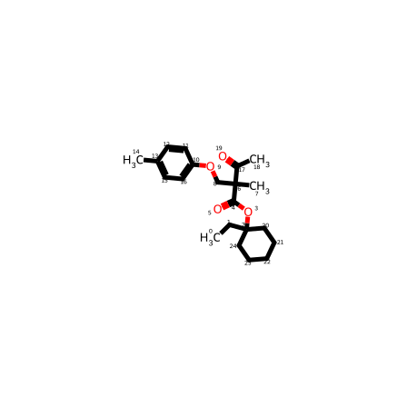 CCC1(OC(=O)C(C)(COc2ccc(C)cc2)C(C)=O)CCCCC1